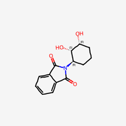 O=C1c2ccccc2C(=O)N1[C@@H]1CCC[C@@H](O)[C@H]1O